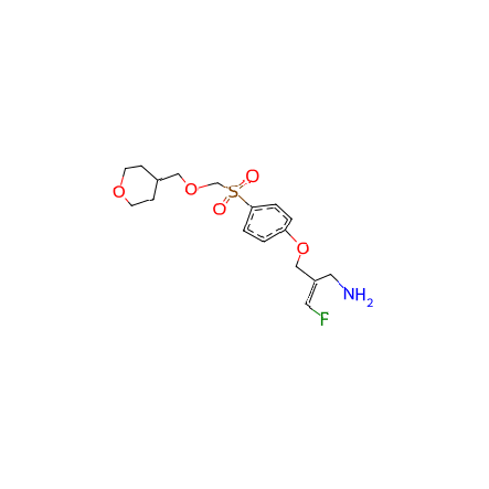 NC/C(=C\F)COc1ccc(S(=O)(=O)COCC2CCOCC2)cc1